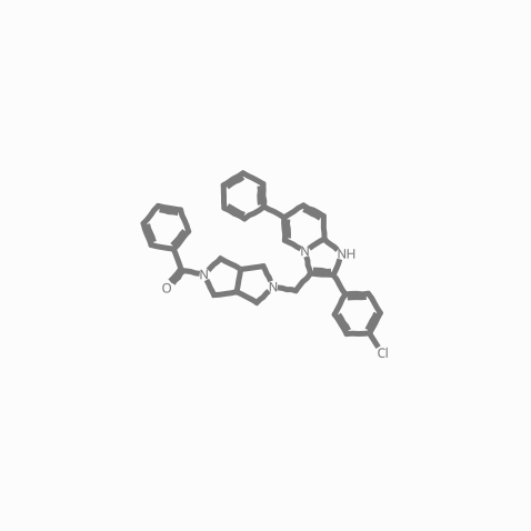 O=C(c1ccccc1)N1CC2CN(CC3=C(c4ccc(Cl)cc4)NC4C=CC(c5ccccc5)=CN34)CC2C1